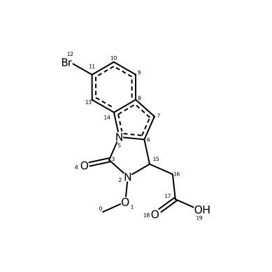 CON1C(=O)n2c(cc3ccc(Br)cc32)C1CC(=O)O